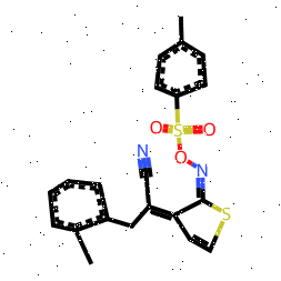 Cc1ccc(S(=O)(=O)ON=C2SC=CC2=C(C#N)Cc2ccccc2C)cc1